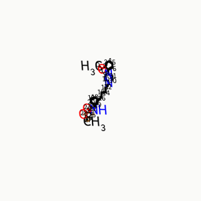 COc1ccccc1N1CCN(CCCCCc2cccc(NC(=O)C[S+](C)[O-])c2)CC1